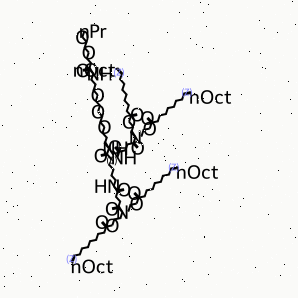 CCCCCCCC/C=C\CCCCCCCC(=O)OCCN(CCOC(=O)CCCCCCC/C=C\CCCCCCCC)C(=O)CCC(=O)NCCCC[C@H](NC(=O)CCC(=O)N(CCOC(=O)CCCCCCC/C=C\CCCCCCCC)CCOC(=O)CCCCCCC/C=C\CCCCCCCC)C(=O)NCCCOCCOCCOCCCNC(=O)CCOCCOCCC